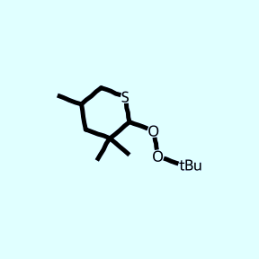 CC1CSC(OOC(C)(C)C)C(C)(C)C1